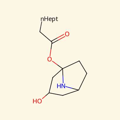 [CH2]CCCCCCCC(=O)OC12CCC(CC(O)C1)N2